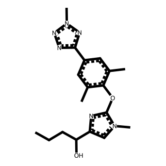 CCCC(O)c1cn(C)c(Oc2c(C)cc(-c3nnn(C)n3)cc2C)n1